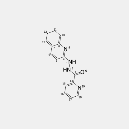 O=C(NNc1ccc2c(n1)=CCCC=2)c1ccccn1